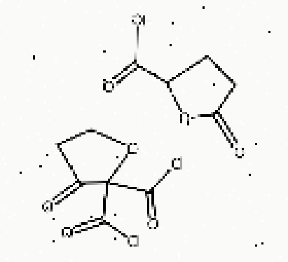 O=C(Cl)C1(C(=O)Cl)OCCC1=O.O=C1CCC(C(=O)O)O1